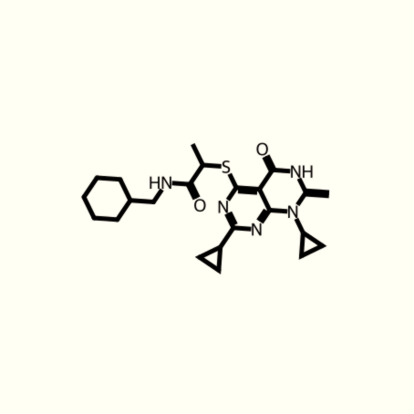 C=C1NC(=O)c2c(SC(C)C(=O)NCC3CCCCC3)nc(C3CC3)nc2N1C1CC1